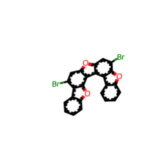 Brc1cc2oc3cc(Br)c4c5ccccc5oc4c3c2c2c1oc1ccccc12